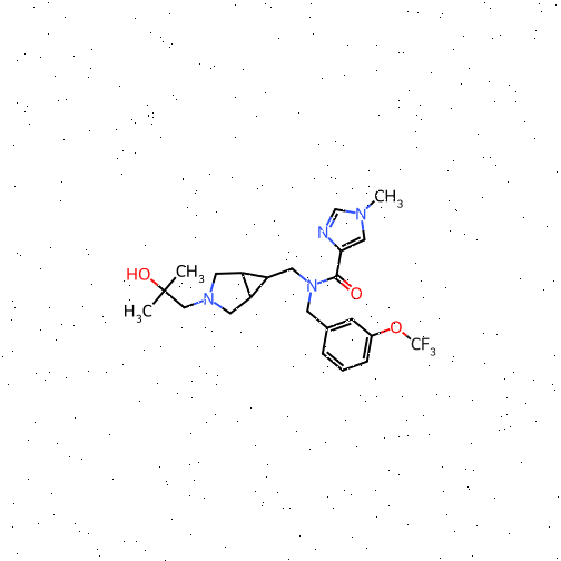 Cn1cnc(C(=O)N(Cc2cccc(OC(F)(F)F)c2)CC2C3CN(CC(C)(C)O)CC32)c1